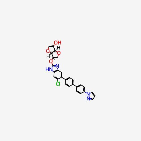 O[C@@H]1CO[C@H]2[C@@H]1OC[C@H]2Oc1nc2cc(-c3ccc(-c4ccc(-n5cccn5)cc4)cc3)c(Cl)cc2[nH]1